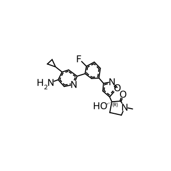 CN1CC[C@@](O)(c2cc(-c3ccc(F)c(-c4cc(C5CC5)c(N)cn4)c3)no2)C1=O